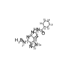 BN(C)c1nc2nc(NC(=O)c3ccccc3)sc2c2c1ncn2C